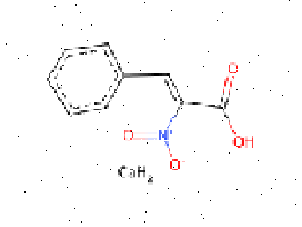 O=C(O)C(=Cc1ccccc1)[N+](=O)[O-].[CaH2]